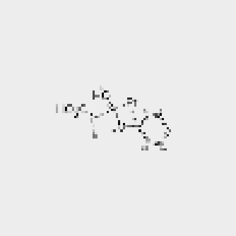 C=C(C(=O)O)C(O)(CC)Oc1ccccc1